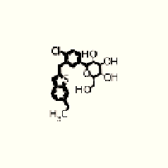 CCc1ccc2cc(Cc3cc(C4O[C@H](CO)[C@@H](O)[C@H](O)[C@H]4O)ccc3Cl)sc2c1